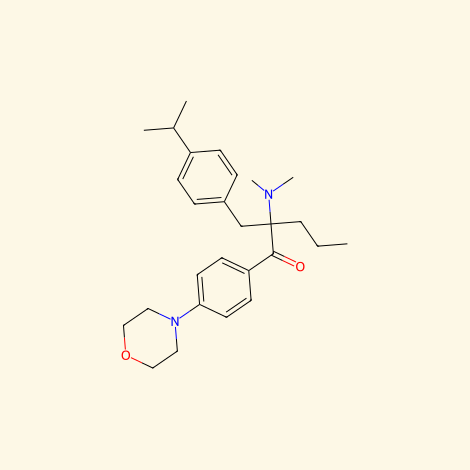 CCCC(Cc1ccc(C(C)C)cc1)(C(=O)c1ccc(N2CCOCC2)cc1)N(C)C